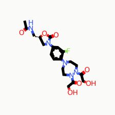 CC(=O)NC[C@H]1CN(c2ccc(N3CCN(C(=O)CO)N(C(=O)CO)CC3)c(F)c2)C(=O)O1